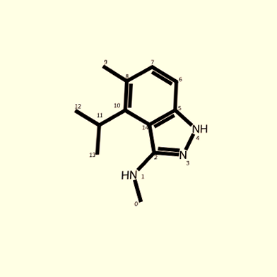 CNc1n[nH]c2ccc(C)c(C(C)C)c12